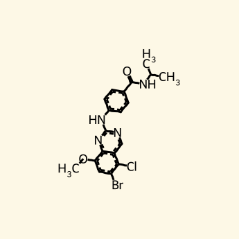 COc1cc(Br)c(Cl)c2cnc(Nc3ccc(C(=O)NC(C)C)cc3)nc12